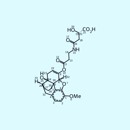 COc1ccc2c3c1O[C@H]1C(OC(=O)CCNC(=O)C[C@H](O)C(=O)O)=CC[C@@]4(O)[C@H](CCC[C@]314)C2